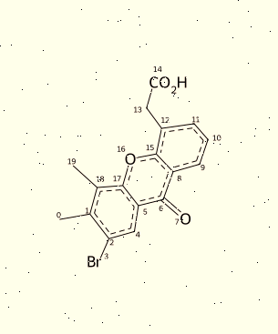 Cc1c(Br)cc2c(=O)c3cccc(CC(=O)O)c3oc2c1C